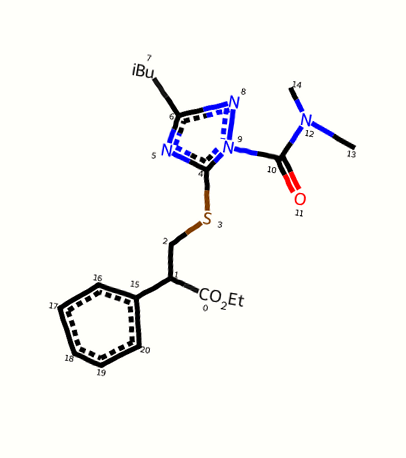 CCOC(=O)C(CSc1nc(C(C)CC)nn1C(=O)N(C)C)c1ccccc1